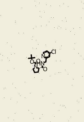 CC(C)(C)OC(=O)N1CCC[C@H]1C(=O)NCc1cc(Cl)ccn1